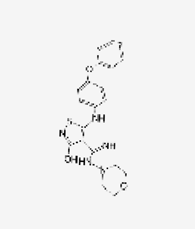 N=C(NN1CCOCC1)c1c(O)nsc1Nc1ccc(Oc2ccccc2)cc1